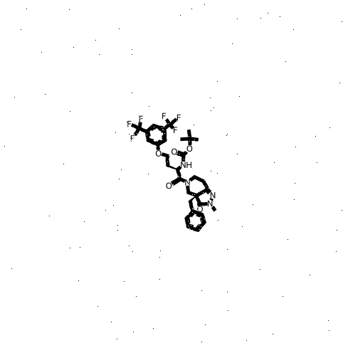 CN1N=C2CCN(C(=O)[C@@H](CCOc3cc(C(F)(F)F)cc(C(F)(F)F)c3)NC(=O)OC(C)(C)C)C[C@@]2(Cc2ccccc2)C1=O